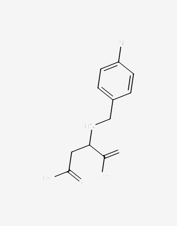 Nc1ccc(CNC(CC(=O)O)C(=O)O)cc1